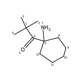 CC(C)(C)C(=O)C1(N)CCCCC1